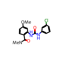 CNC(=O)c1ccc(OC)cc1NC(=O)Nc1cccc(Cl)c1